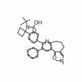 CN(C)C=C1CCCc2nc(-c3ccc(C4(N(C(=O)O)C(C)(C)C)CCC4)cc3)c(-c3ccccc3)cc2C1=O